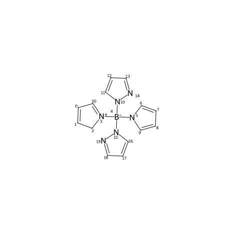 C1=CC[N+]([B-](n2cccc2)(n2cccn2)n2cccn2)=C1